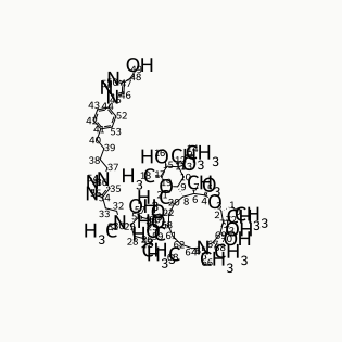 CC[C@H]1OC(=O)[C@H](C)[C@@H](C2C[C@@](C)(OC)[C@@H](O)[C@H](C)O2)[C@H](C)[C@@H](O[C@@H]2O[C@H](C)C[C@H](N(C)CCc3cn(CCCCc4ccc(-n5cc(CO)nn5)cc4)nn3)[C@H]2O)[C@](C)(O)C[C@@H](C)CN(C)[C@H](C)[C@@H](O)[C@]1(C)O